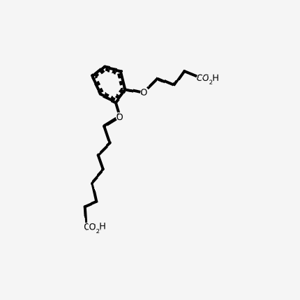 O=C(O)CCCCCCCOc1ccccc1OCCCC(=O)O